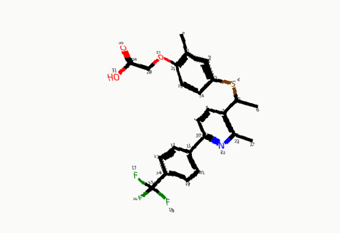 Cc1cc(SC(C)c2ccc(-c3ccc(C(F)(F)F)cc3)nc2C)ccc1OCC(=O)O